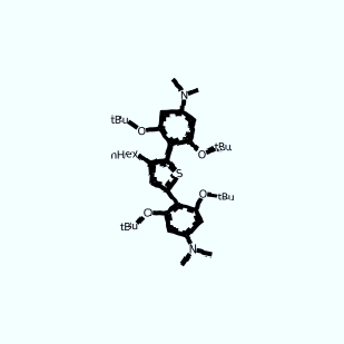 CCCCCCc1cc(-c2c(OC(C)(C)C)cc(N(C)C)cc2OC(C)(C)C)sc1-c1c(OC(C)(C)C)cc(N(C)C)cc1OC(C)(C)C